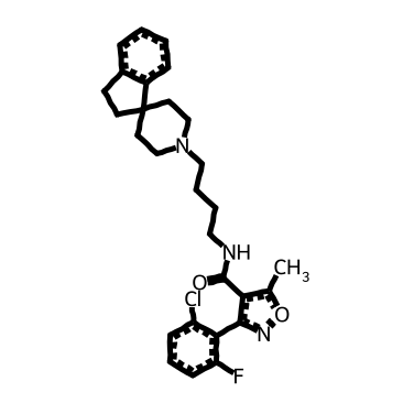 Cc1onc(-c2c(F)cccc2Cl)c1C(=O)NCCCCN1CCC2(CCc3ccccc32)CC1